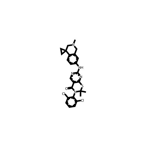 CN1Cc2cc(Nc3ncc4c(n3)SC(C)(C)N(c3c(Cl)cccc3Cl)C4=O)ccc2C2(CC2)C1